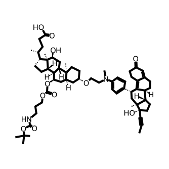 CC#C[C@]1(O)CC[C@H]2[C@@H]3CCC4=CC(=O)CCC4=C3[C@@H](c3ccc(N(C)CCO[C@H]4CC[C@@]5(C)[C@@H](C4)C[C@@H](OC(=O)OCCCNC(=O)OC(C)(C)C)[C@@H]4[C@@H]5C[C@H](O)[C@]5(C)[C@@H]([C@H](C)CCC(=O)O)CC[C@@H]45)cc3)C[C@@]21C